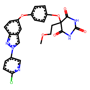 COCCC1(Oc2ccc(Oc3ccc4nn(-c5ccc(Cl)nc5)cc4c3)cc2)C(=O)NC(=O)NC1=O